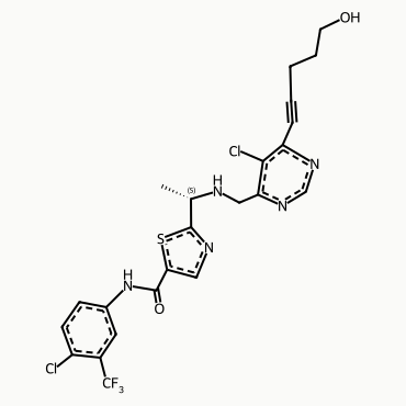 C[C@H](NCc1ncnc(C#CCCCO)c1Cl)c1ncc(C(=O)Nc2ccc(Cl)c(C(F)(F)F)c2)s1